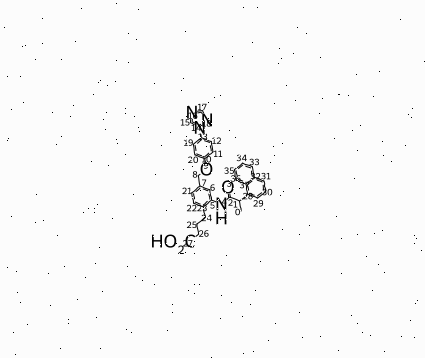 CC(C(=O)Nc1cc(COc2ccc(-n3cncn3)cc2)ccc1CCCC(=O)O)c1cccc2ccccc12